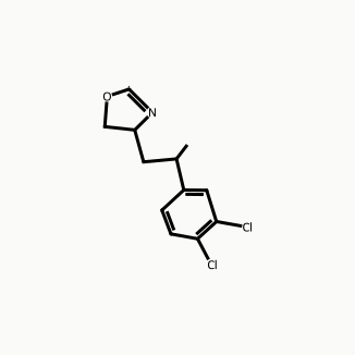 CC(CC1CO[C]=N1)c1ccc(Cl)c(Cl)c1